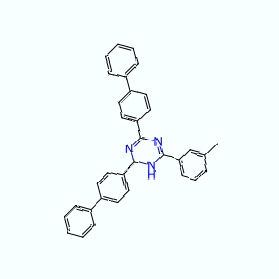 Cc1cccc(C2=NC(c3ccc(-c4ccccc4)cc3)=NC(c3ccc(-c4ccccc4)cc3)N2)c1